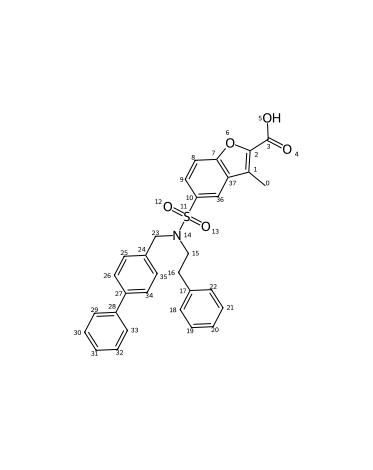 Cc1c(C(=O)O)oc2ccc(S(=O)(=O)N(CCc3ccccc3)Cc3ccc(-c4ccccc4)cc3)cc12